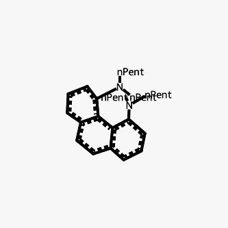 CCCCCN(CCCCC)c1cccc2ccc3cccc(N(CCCCC)CCCCC)c3c12